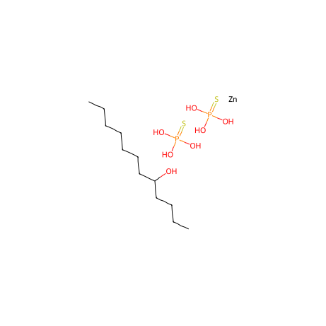 CCCCCCCC(O)CCCC.OP(O)(O)=S.OP(O)(O)=S.[Zn]